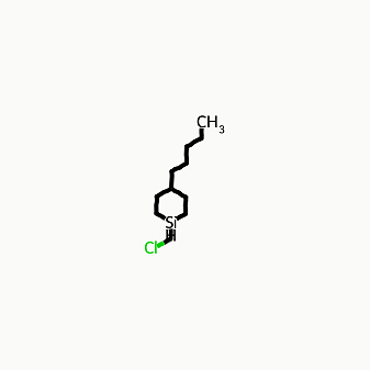 CCCCCC1CC[SiH](CCl)CC1